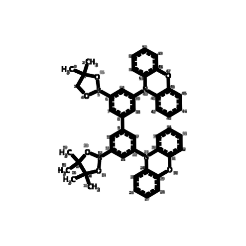 CC1(C)COB(c2cc(-c3cc(B4OC(C)(C)C(C)(C)O4)cc(N4c5ccccc5Oc5ccccc54)c3)cc(N3c4ccccc4Oc4ccccc43)c2)O1